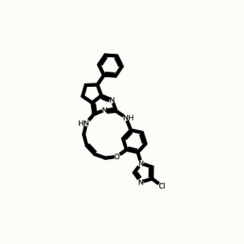 Clc1cn(-c2ccc3cc2OC/C=C\CNc2nc(nc4c2CCC4c2ccccc2)N3)cn1